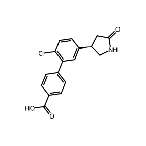 O=C1C[C@H](c2ccc(Cl)c(-c3ccc(C(=O)O)cc3)c2)CN1